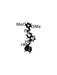 COc1ccc(OC)c(CC(=O)N2CCc3c(ncnc3NCC(O)C34CC5CC(CC(C5)C3)C4)C2)c1